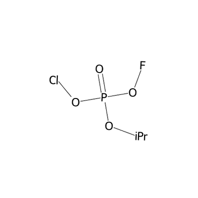 CC(C)OP(=O)(OF)OCl